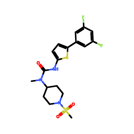 CN(C(=O)Nc1ccc(-c2cc(F)cc(F)c2)s1)C1CCN(S(C)(=O)=O)CC1